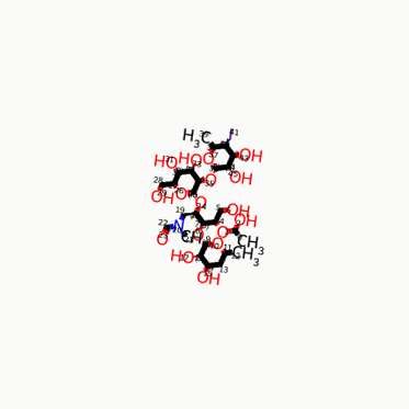 CC(O)OC(CO)[C@@H](O[C@@H]1OC(C)CC(O)[C@@H]1O)[C@@H](CN(C)C=O)O[C@@H]1OC(CO)[C@H](O)[C@H](O)C1O[C@@H]1OC(C)[C@@H](I)C(O)[C@@H]1O